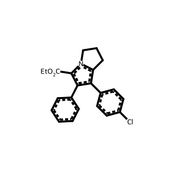 CCOC(=O)c1c(-c2ccccc2)c(-c2ccc(Cl)cc2)c2n1CCC2